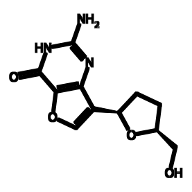 Nc1nc2c([C@H]3CC[C@@H](CO)O3)coc2c(=O)[nH]1